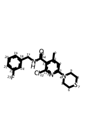 Cc1cc(N2CCSCC2)nc(Cl)c1C(=O)NCc1cccc(F)c1